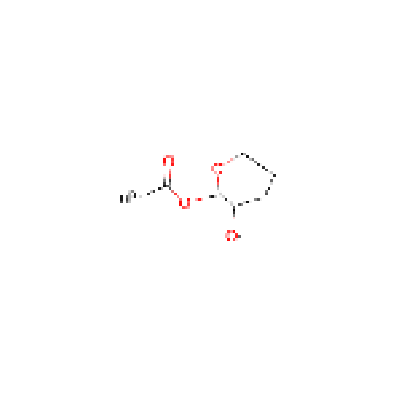 CCCC(=O)OC1OCCCC1[O]